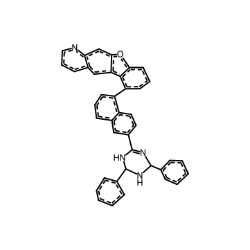 c1ccc(C2N=C(c3ccc4c(-c5cccc6oc7cc8ncccc8cc7c56)cccc4c3)NC(c3ccccc3)N2)cc1